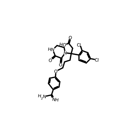 N=C(N)c1ccc(OCCCC(CC(=O)O)(c2ccc(Cl)cc2Cl)N2CCNC(=O)C2=O)cc1